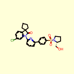 O=C(Nc1cccc(-c2ccc(S(=O)(=O)N3CCC[C@@H]3CO)cc2)n1)C1(c2ccc(Cl)cc2)CCCC1